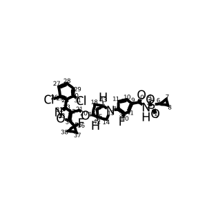 O=C(NS(=O)(=O)C1CC1)c1ccc(N2C[C@@H]3C[C@H]2C[C@H]3OCc2c(-c3c(Cl)cccc3Cl)noc2C2(F)CC2)c(F)c1